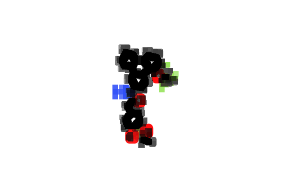 CCS(=O)(=O)c1ccc(CC(=O)Nc2ccc(-c3ccccc3OC(F)(F)F)c(-c3ccccc3)c2)cc1